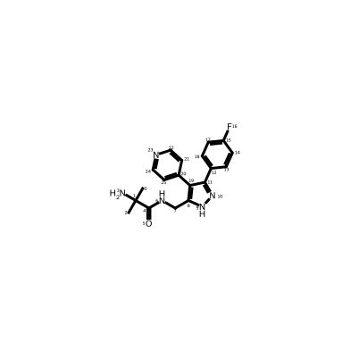 CC(C)(N)C(=O)NCc1[nH]nc(-c2ccc(F)cc2)c1-c1ccncc1